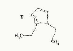 CC[C]1C=CC=C1CC.[Ti]